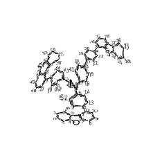 c1ccc2c(c1)oc1cccc(-c3ccc(N(c4ccc(-c5ccc(-c6cccc7c6sc6ccccc67)cc5)cc4)c4ccc(-c5cccc6sc7ccccc7c56)cc4)cc3)c12